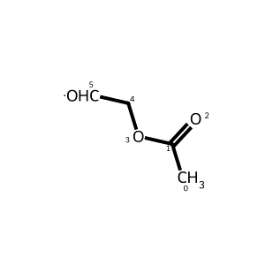 CC(=O)OC[C]=O